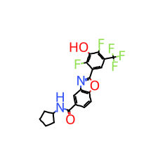 O=C(NC1CCCC1)c1ccc2oc(-c3cc(C(F)(F)F)c(F)c(O)c3F)nc2c1